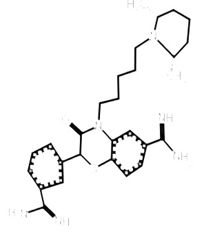 C[C@@H]1CCC[C@H](C)N1CCCCCN1C(=O)C(c2cccc(C(=N)N)c2)Sc2ccc(C(=N)N)cc21